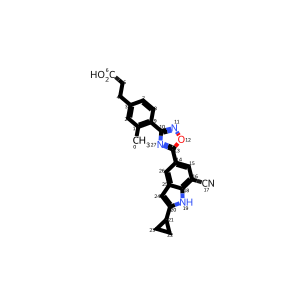 Cc1cc(CCC(=O)O)ccc1-c1noc(-c2cc(C#N)c3[nH]c(C4CC4)cc3c2)n1